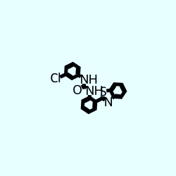 O=C(Nc1cccc(Cl)c1)Nc1ccccc1-c1nc2ccccc2s1